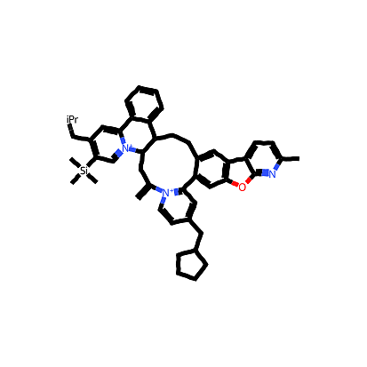 C=C1CC2C(CCc3cc4c(cc3-c3cc(CC5CCCC5)cc[n+]31)oc1nc(C)ccc14)c1ccccc1-c1cc(CC(C)C)c([Si](C)(C)C)c[n+]12